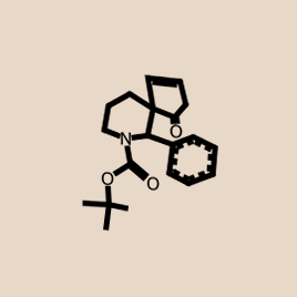 CC(C)(C)OC(=O)N1CCCC2(C=CCC2=O)C1c1ccccc1